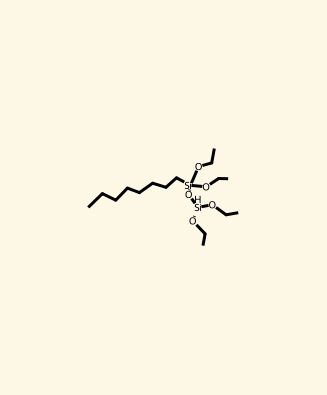 CCCCCCCC[Si](OCC)(OCC)O[SiH](OCC)OCC